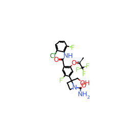 C[C@H](Oc1cc(C2(CO)CCN2C(N)=O)c(F)cc1C(=O)Nc1c(F)cccc1Cl)C(F)(F)F